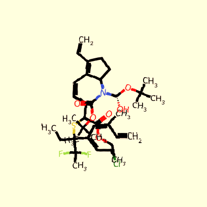 C=CC1=C(/C=C\CC(SC(CC)(C(/C=C(/C)C=C)=C/CCl)C(C)(F)F)C(=O)OCC)C(N(C(=O)OC(C)(C)C)[C@@H](O)OC(C)(C)C)CC1